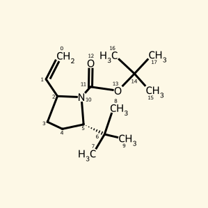 C=CC1CC[C@@H](C(C)(C)C)N1C(=O)OC(C)(C)C